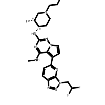 CNc1nc(N[C@H]2CCN(CCOC)C[C@H]2F)nn2ccc(-c3ccc4nnn(CC(F)F)c4n3)c12